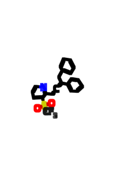 O=S(=O)(c1cccnc1C=C=C(Cc1ccccc1)c1ccccc1)C(F)(F)F